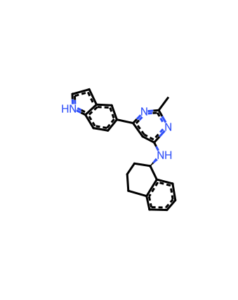 Cc1nc(N[C@@H]2CCCc3ccccc32)cc(-c2ccc3[nH]ccc3c2)n1